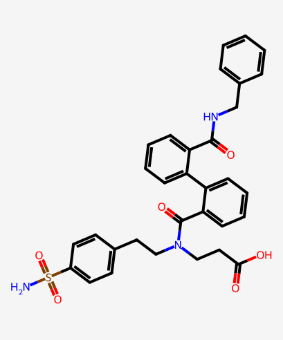 NS(=O)(=O)c1ccc(CCN(CCC(=O)O)C(=O)c2ccccc2-c2ccccc2C(=O)NCc2ccccc2)cc1